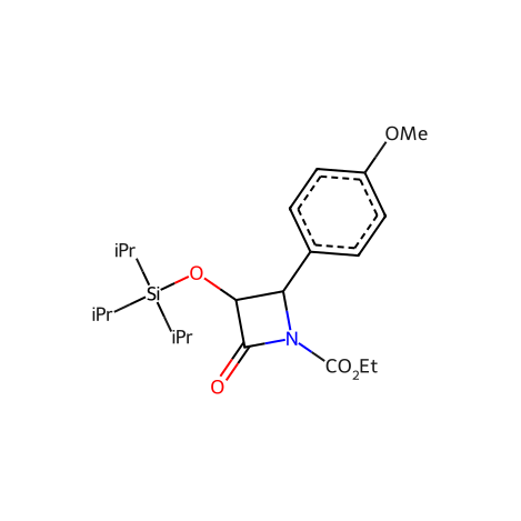 CCOC(=O)N1C(=O)C(O[Si](C(C)C)(C(C)C)C(C)C)C1c1ccc(OC)cc1